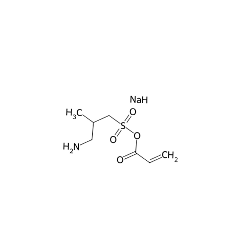 C=CC(=O)OS(=O)(=O)CC(C)CN.[NaH]